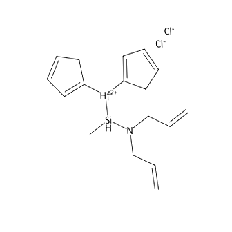 C=CCN(CC=C)[SiH](C)[Hf+2]([C]1=CC=CC1)[C]1=CC=CC1.[Cl-].[Cl-]